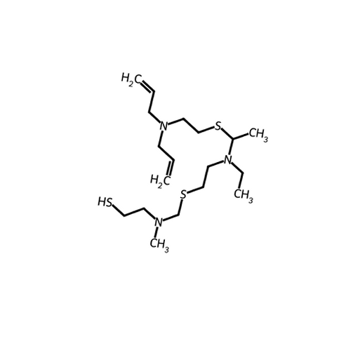 C=CCN(CC=C)CCSC(C)N(CC)CCSCN(C)CCS